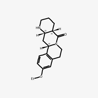 CCOc1ccc2c(c1)CCN1C(=O)[C@H]3CCCN[C@H]3C[C@@H]21